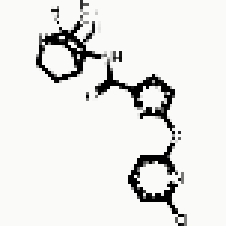 C[C@H]1[C@H](NC(=O)c2ccc(Oc3cccc(Cl)n3)s2)C2CCN1CC2